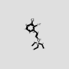 CC[Si](CC)(CC)OC=Cc1cccc(Cl)c1F